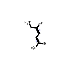 CCC/C(=C/C=C(/N)CC)CN